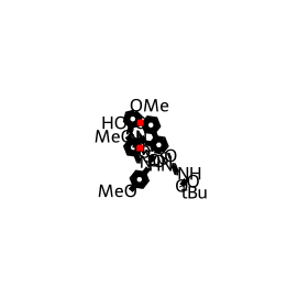 COc1ccc(CN(Cc2ccc(OC)cc2)S(=O)(=O)c2c(S(=O)(=O)NCCNC(=O)OC(C)(C)C)ccc(-c3cccc(C(=O)O)c3)c2-c2nnn(Cc3ccc(OC)cc3)n2)cc1